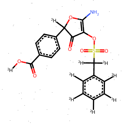 [2H]OC(=O)c1ccc(C2([2H])OC(N)=C(OS(=O)(=O)C([2H])([2H])c3c([2H])c([2H])c([2H])c([2H])c3[2H])C2=O)cc1